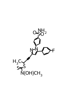 CC(C#Cc1cc(-c2ccc(F)cc2)n(-c2ccc(S(N)(=O)=O)cc2)n1)SC(=S)N(C)O